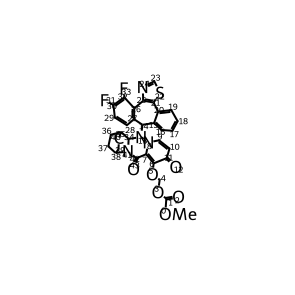 COC(=O)OCOc1c2n(ccc1=O)N(C1c3ccccc3-c3scnc3-c3c1ccc(F)c3F)C1C3CCC(CC3)N1C2=O